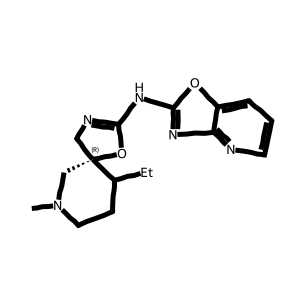 CCC1CCN(C)C[C@@]12CN=C(Nc1nc3ncccc3o1)O2